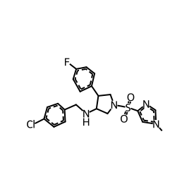 Cn1cnc(S(=O)(=O)N2CC(NCc3ccc(Cl)cc3)C(c3ccc(F)cc3)C2)c1